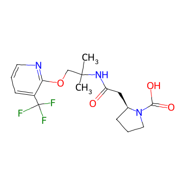 CC(C)(COc1ncccc1C(F)(F)F)NC(=O)C[C@@H]1CCCN1C(=O)O